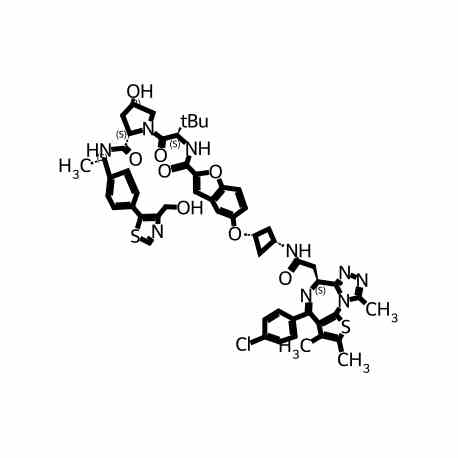 Cc1sc2c(c1C)C(c1ccc(Cl)cc1)=N[C@@H](CC(=O)N[C@H]1C[C@@H](Oc3ccc4oc(C(=O)N[C@H](C(=O)N5C[C@H](O)C[C@H]5C(=O)N[C@@H](C)c5ccc(-c6scnc6CO)cc5)C(C)(C)C)cc4c3)C1)c1nnc(C)n1-2